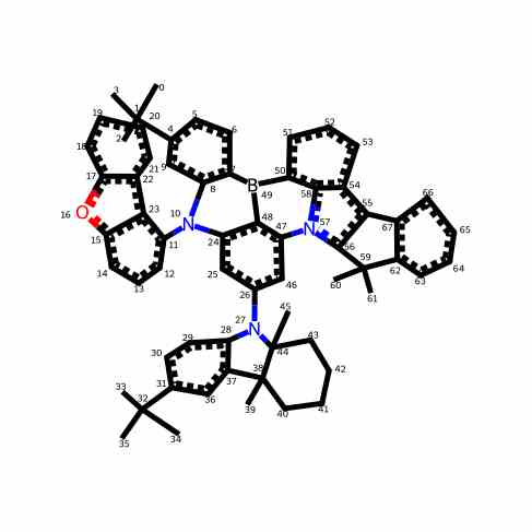 CC(C)(C)c1ccc2c(c1)N(c1cccc3oc4ccccc4c13)c1cc(N3c4ccc(C(C)(C)C)cc4C4(C)CCCCC34C)cc3c1B2c1cccc2c4c(n-3c12)C(C)(C)c1ccccc1-4